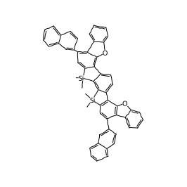 C[Si]1(C)c2cc(-c3ccc4ccccc4c3)c3c(oc4ccccc43)c2-c2ccc3c(c21)[Si](C)(C)c1cc(-c2ccc4ccccc4c2)c2c(oc4ccccc42)c1-3